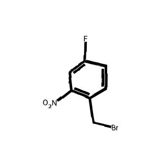 O=[N+]([O-])c1cc(F)ccc1CBr